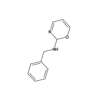 C1=COC(NCc2ccccc2)N=C1